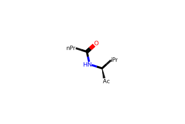 CCCC(=O)N[C@H](C(C)=O)C(C)C